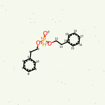 O=[PH](OCCc1ccccc1)OCCc1ccccc1